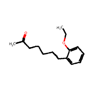 CCOc1ccccc1CCCCCC(C)=O